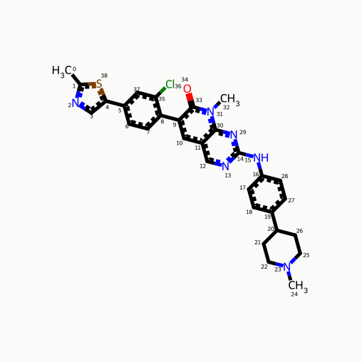 Cc1ncc(-c2ccc(-c3cc4cnc(Nc5ccc(C6CCN(C)CC6)cc5)nc4n(C)c3=O)c(Cl)c2)s1